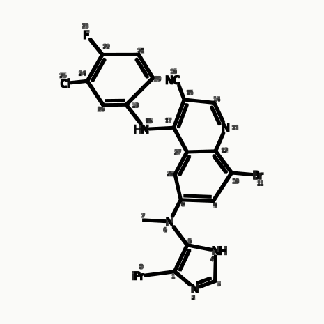 CC(C)c1nc[nH]c1N(C)c1cc(Br)c2ncc(C#N)c(Nc3ccc(F)c(Cl)c3)c2c1